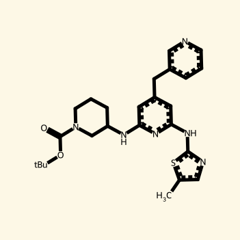 Cc1cnc(Nc2cc(Cc3cccnc3)cc(NC3CCCN(C(=O)OC(C)(C)C)C3)n2)s1